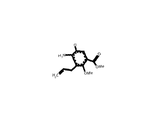 C=CCc1c(N)c(Cl)cc(C(=O)OC)c1OC